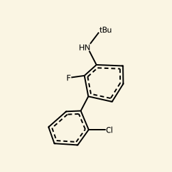 CC(C)(C)Nc1cccc(-c2ccccc2Cl)c1F